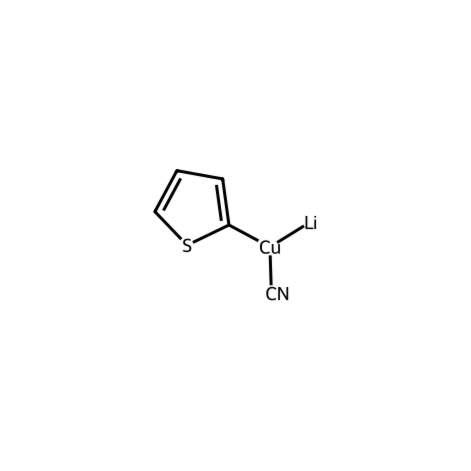 [Li][Cu]([C]#N)[c]1cccs1